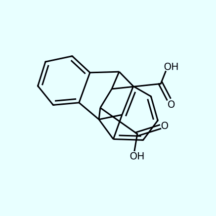 O=C(O)C1C2c3ccccc3C3(c4cccc2c43)C1C(=O)O